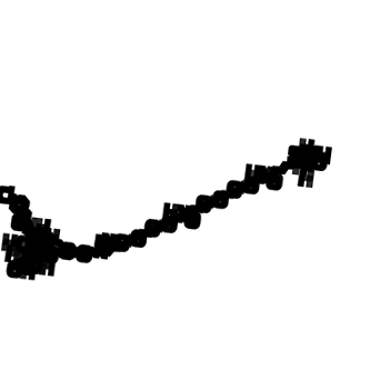 O=C(CCCC[C@H]1SC[C@H]2NC(=O)N[C@H]21)NCCOCCOCCOCCOCCC(=O)NCCOCCOCCOCCOCc1cn(CCOCCOCCO[C@]2(C(=O)O)C[C@H](O)[C@@H](NC(=O)CO)[C@H]([C@H](O)[C@H](O)CNC(=O)Cc3ccc(Cl)cc3)O2)nn1